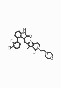 Cc1c(C=C2C(=O)Nc3cccc(-c4cccc(Cl)c4F)c32)[nH]c2c1C(=O)N(CCN1CCOCC1)CC2